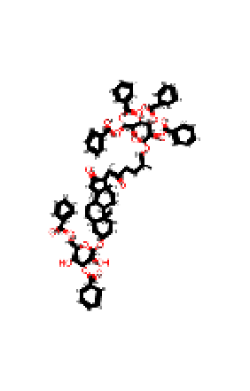 C[C@@H](CCC(=O)[C@@H](C)C1C(=O)CC2C3CCC4CC(O[C@@H]5OC(COC(=O)c6ccccc6)[C@H](O)C(OC(=O)c6ccccc6)C5O)CCC4(C)C3CCC21C)CO[C@@H]1OC(COC(=O)c2ccccc2)[C@@H](OC(=O)c2ccccc2)C(OC(=O)c2ccccc2)C1OC(=O)c1ccccc1